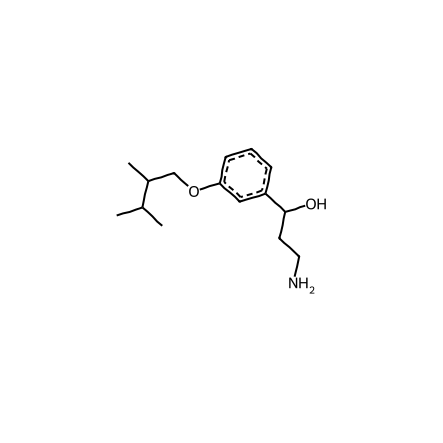 CC(C)C(C)COc1cccc(C(O)CCN)c1